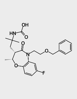 C[C@H]1Oc2ccc(F)cc2N(CCOCc2ccccc2)C(=O)[C@H]1CC(C)(C)NC(=O)O